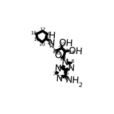 Nc1ncnc2c1ncn2[C@@H]1O[C@H](CNC2CCCCC2)C(O)C1O